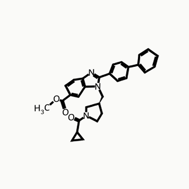 COC(=O)c1ccc2nc(-c3ccc(-c4ccccc4)cc3)n(C[C@H]3CCN(C(=O)C4CC4)C3)c2c1